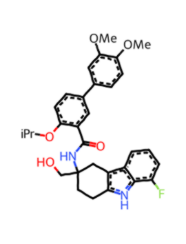 COc1ccc(-c2ccc(OC(C)C)c(C(=O)NC3(CO)CCc4[nH]c5c(F)cccc5c4C3)c2)cc1OC